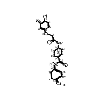 O=C(COc1ccc(Cl)c(F)c1)NC12CCC(C(=O)Nc3ccc(C(F)(F)F)cc3)(CC1)OC2